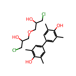 Cc1cc(-c2cc(C)c(O)c(C)c2)cc(C)c1O.OC(CCl)COCC(O)CCl